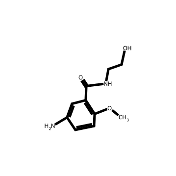 COc1ccc(N)cc1C(=O)NCCO